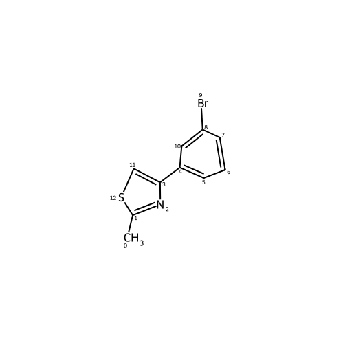 Cc1nc(-c2cccc(Br)c2)cs1